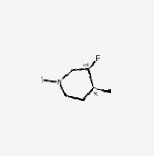 C[C@H]1CCN(I)C[C@H]1F